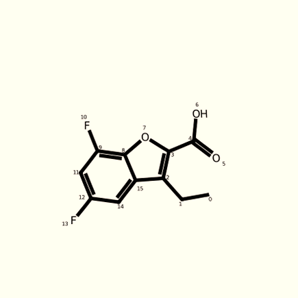 CCc1c(C(=O)O)oc2c(F)cc(F)cc12